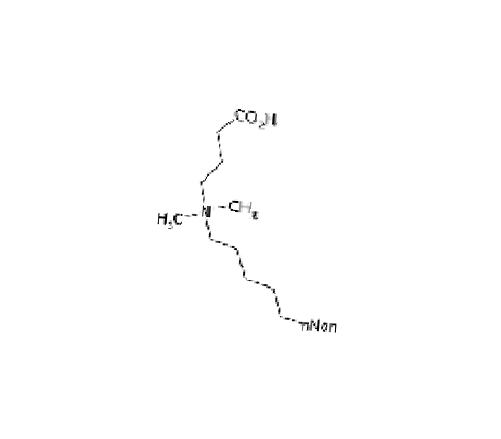 CCCCCCCCCCCCCC[N+](C)(C)CCCC(=O)O